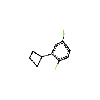 Fc1ccc(F)c(C2CCC2)c1